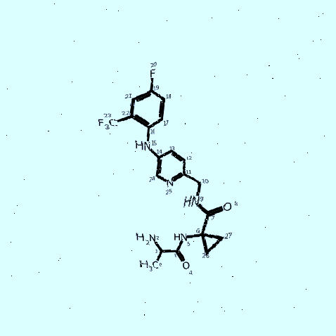 CC(N)C(=O)NC1(C(=O)NCc2ccc(Nc3ccc(F)cc3C(F)(F)F)cn2)CC1